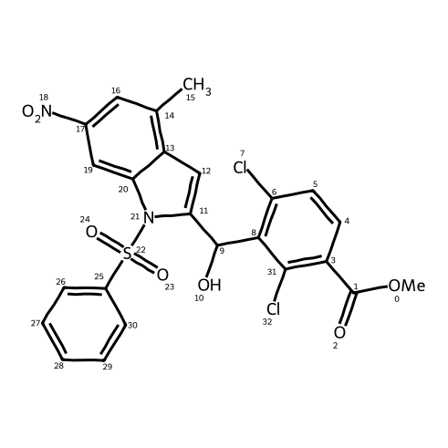 COC(=O)c1ccc(Cl)c(C(O)c2cc3c(C)cc([N+](=O)[O-])cc3n2S(=O)(=O)c2ccccc2)c1Cl